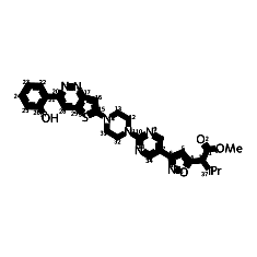 COC(=O)C(c1cc(-c2cnc(N3CCN(c4cc5nnc(-c6ccccc6O)cc5s4)CC3)nc2)no1)C(C)C